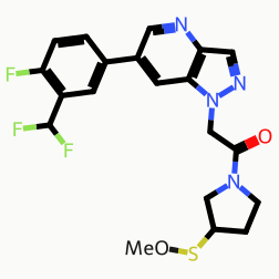 COSC1CCN(C(=O)Cn2ncc3ncc(-c4ccc(F)c(C(F)F)c4)cc32)C1